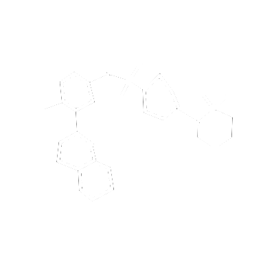 Cc1ccc(NS(=O)(=O)c2ccc(N3COCCS3(=O)=O)cc2)cc1-c1ccc2ccccc2n1